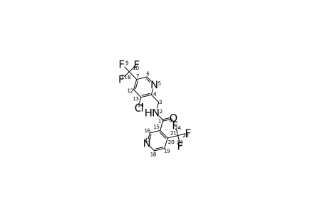 O=C(NCc1ncc(C(F)(F)F)cc1Cl)c1cnccc1C(F)(F)F